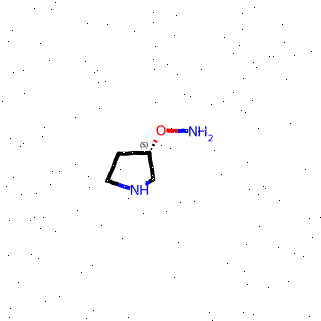 NO[C@H]1CCNC1